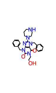 O=c1c2c(nc(N3CCCNCC3)n2Cc2ccccc2)n(Cc2ccccc2)c(=O)n1CCO